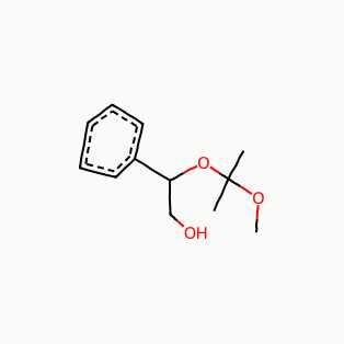 COC(C)(C)OC(CO)c1ccccc1